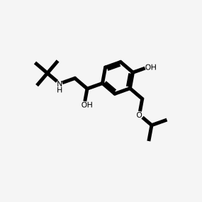 CC(C)OCc1cc(C(O)CNC(C)(C)C)ccc1O